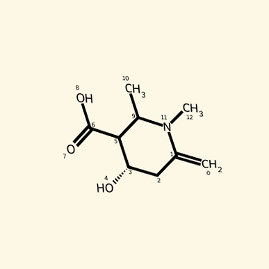 C=C1C[C@H](O)C(C(=O)O)C(C)N1C